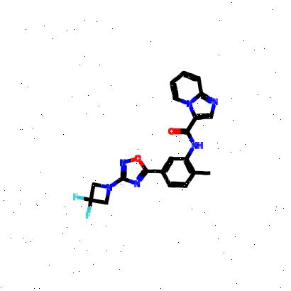 Cc1ccc(-c2nc(N3CC(F)(F)C3)no2)cc1NC(=O)c1cnc2ccccn12